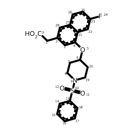 O=C(O)Cc1cc(OC2CCN(S(=O)(=O)c3ccccc3)CC2)c2cc(F)ccc2c1